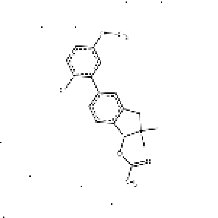 CC1(C)Cc2cc(-c3cc(OC(F)(F)F)ccc3Cl)ccc2C1OC(N)=O